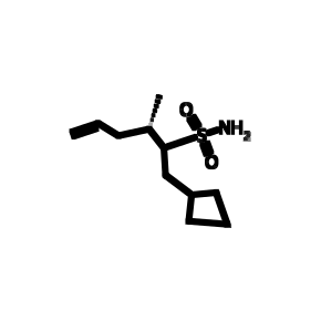 C=CC[C@H](C)C(CC1CCC1)S(N)(=O)=O